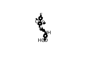 CCOc1cc(CN2CC3(CC(Nc4ccc(C(=O)O)cc4)C3)C2)cc(OCC)c1-c1ccc(F)cc1